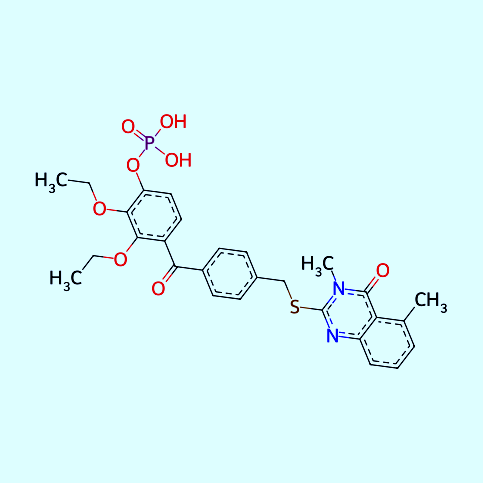 CCOc1c(OP(=O)(O)O)ccc(C(=O)c2ccc(CSc3nc4cccc(C)c4c(=O)n3C)cc2)c1OCC